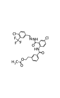 CC(=O)OCCc1cccc(C(=O)Nc2ccc(Cl)cc2C(=O)N/N=C/c2ccc(Cl)c(C(F)(F)F)c2)c1